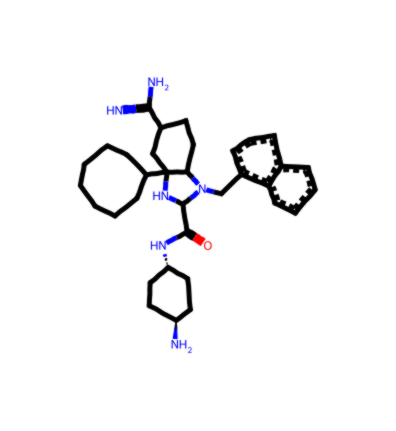 N=C(N)C1CCC2N(Cc3cccc4ccccc34)C(C(=O)N[C@H]3CC[C@H](N)CC3)NC2(C2CCCCCCC2)C1